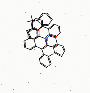 CC1(C)c2ccccc2-c2c(N(c3ccccc3-c3ccccc3)c3c(-c4cccc5cccc(-c6ccccc6)c45)c4ccccc4c4ccccc34)cccc21